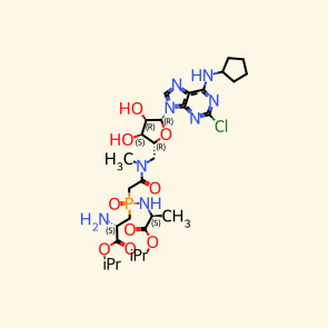 CC(C)OC(=O)[C@H](N)CP(=O)(CC(=O)N(C)C[C@H]1O[C@@H](n2cnc3c(NC4CCCC4)nc(Cl)nc32)[C@H](O)[C@@H]1O)N[C@@H](C)C(=O)OC(C)C